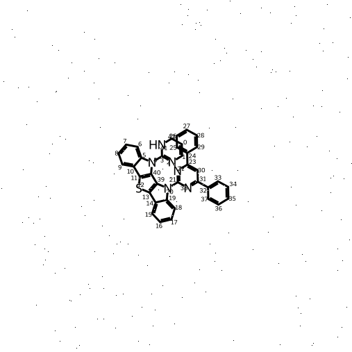 C1=CN=C(n2c3ccccc3c3sc4c5ccccc5n(-c5nc(-c6ccccc6)cc(-c6ccccc6)n5)c4c32)NC1